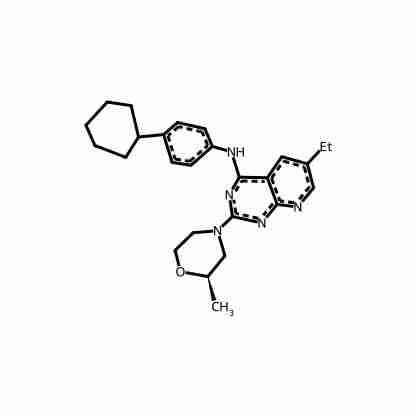 CCc1cnc2nc(N3CCO[C@H](C)C3)nc(Nc3ccc(C4CCCCC4)cc3)c2c1